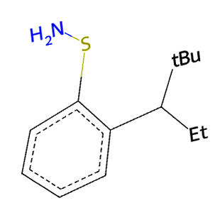 CCC(c1ccccc1SN)C(C)(C)C